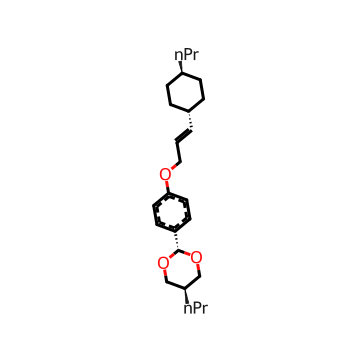 CCC[C@H]1CC[C@H](C=CCOc2ccc([C@H]3OC[C@H](CCC)CO3)cc2)CC1